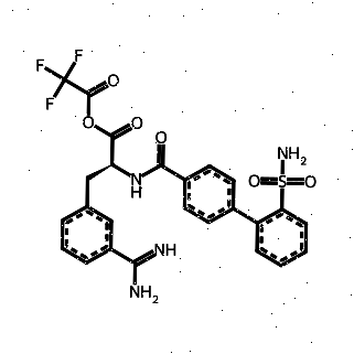 N=C(N)c1cccc(C[C@H](NC(=O)c2ccc(-c3ccccc3S(N)(=O)=O)cc2)C(=O)OC(=O)C(F)(F)F)c1